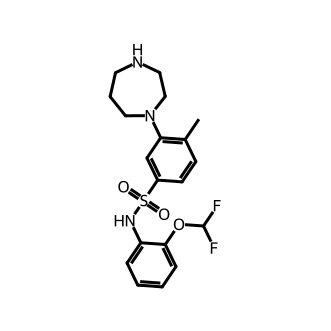 Cc1ccc(S(=O)(=O)Nc2ccccc2OC(F)F)cc1N1CCCNCC1